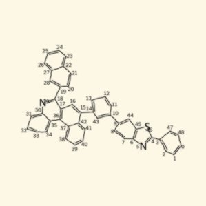 c1ccc(-c2nc3ccc(-c4cccc(-c5cc6c(-c7ccc8ccccc8c7)nc7ccccc7c6c6ccccc56)c4)cc3s2)cc1